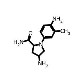 Cc1cc(N2CC(N)CC2C(N)=O)ccc1N